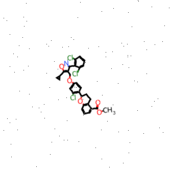 COC(=O)c1cccc2c1CCC(c1ccc(OCc3c(-c4c(Cl)cccc4Cl)noc3C3CC3)cc1Cl)O2